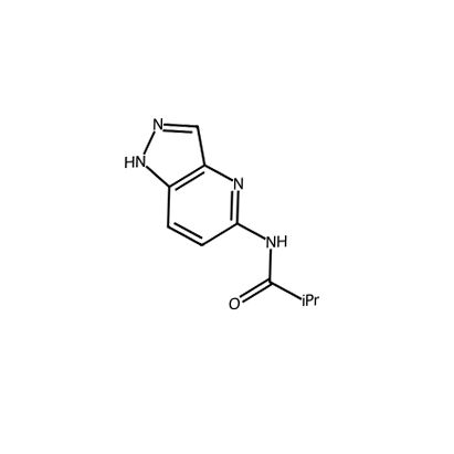 CC(C)C(=O)Nc1ccc2[nH]ncc2n1